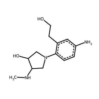 CNC1CN(c2ccc(N)cc2CCO)CC1O